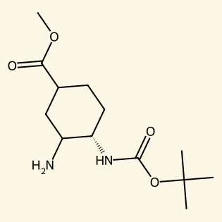 COC(=O)C1CC[C@H](NC(=O)OC(C)(C)C)C(N)C1